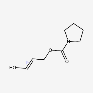 O=C(OC/C=C/O)N1CCCC1